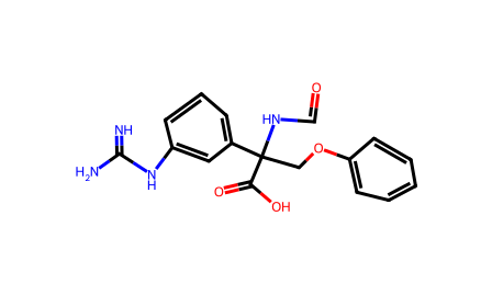 N=C(N)Nc1cccc(C(COc2ccccc2)(NC=O)C(=O)O)c1